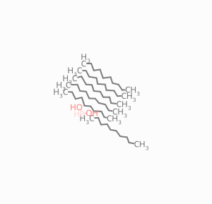 CCCCCCCCCC.CCCCCCCCCC.CCCCCCCCCC.CCCCCCCCCC.CCCCCCCCCC.CCCCCCCCCC.OBO